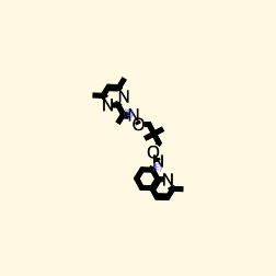 C/C(=N\OCC(C)(C)CO/N=C1\CCCc2ccc(C)nc21)c1nc(C)cc(C)n1